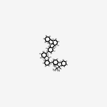 [2H]C([2H])([2H])C1(C)c2ccccc2-c2ccc(-c3cccc4c3Cc3c(-c5ccc6c7cccc8c9ccccc9n(c6c5)c87)cccc3-4)cc21